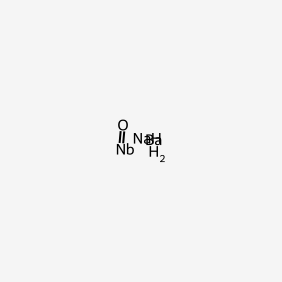 [BaH2].[NaH].[O]=[Nb]